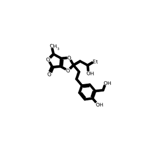 CCC(O)CC1(CCc2ccc(O)c(CO)c2)OC2=C(O1)C(C)OC2=O